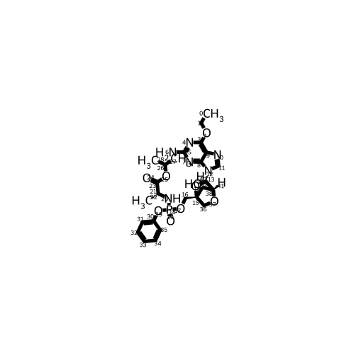 CCOc1nc(N)nc2c1ncn2[C@H]1O[C@@]2(COP(=O)(N[C@H](C)C(=O)OC(C)C)Oc3ccccc3)CO[C@@H]1[C@@H]2O